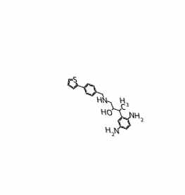 CC(c1cc(N)ccc1N)C(O)CNCc1ccc(-c2cccs2)cc1